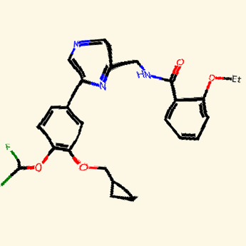 CCOc1ccccc1C(=O)NCc1cncc(-c2ccc(OC(F)F)c(OCC3CC3)c2)n1